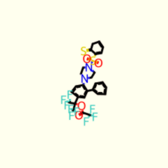 O=C(OC(c1ccc(N2CCN(S(=O)(=O)C3=CC=CCC3=S)CC2)c(-c2ccccc2)c1)(C(F)(F)F)C(F)(F)F)C(F)(F)F